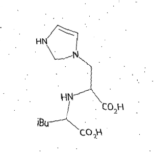 CCC(C)C(NC(CN1C=CNC1)C(=O)O)C(=O)O